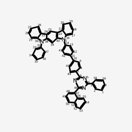 c1ccc(-c2nc(-c3ccc(-c4ccc(-n5c6ccccc6c6cc7c8ccccc8n(-c8ccccc8)c7cc65)cc4)cc3)nc(-c3cccc4ccccc34)n2)cc1